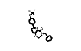 O=C1c2nc(-c3ccc(OC(F)(F)F)cc3)ccc2OCCN1Cc1ccccc1